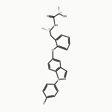 C[C@H](O)C(=O)N[C@@H](C)Cc1ccccc1Oc1ccc2c(cnn2-c2ccc(F)cc2)c1